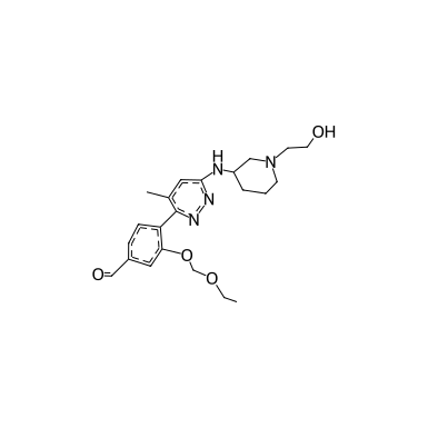 CCOCOc1cc(C=O)ccc1-c1nnc(NC2CCCN(CCO)C2)cc1C